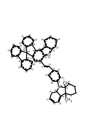 CC12CCCCC1(C)N(c1ccc(/C=C/c3cc4c(c5c3oc3ccccc35)-c3ccccc3C43c4ccccc4-c4ccccc43)cc1)C1CC=CC=C12